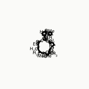 CCC1/C=C(\C)CC(C)CC(OC)C2OC(O)(C(=O)C(=O)N3CCCCC3C(=O)OC(C(C)=CC3(NC4=CC=CCN4C)CCCC(OC)C3)C(C)CCC1=O)C(C)CC2OC